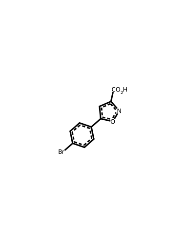 O=C(O)c1cc(-c2ccc(Br)cc2)on1